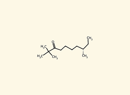 CC[C@H](C)CCCCC(=O)C(C)(C)C